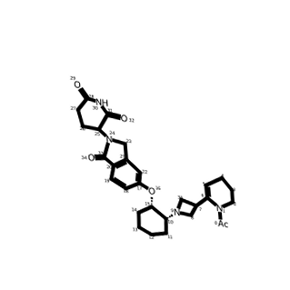 CC(=O)N1CCCC=C1C1CN([C@@H]2CCCC[C@@H]2Oc2ccc3c(c2)CN(C2CCC(=O)NC2=O)C3=O)C1